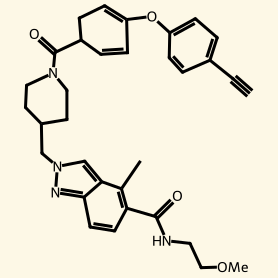 C#Cc1ccc(OC2=CCC(C(=O)N3CCC(Cn4cc5c(C)c(C(=O)NCCOC)ccc5n4)CC3)C=C2)cc1